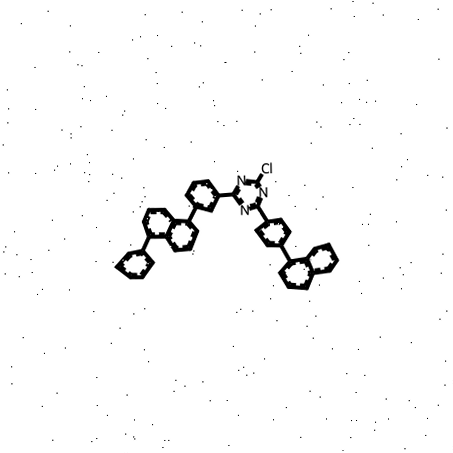 Clc1nc(-c2ccc(-c3cccc4ccccc34)cc2)nc(-c2cccc(-c3cccc4c(-c5ccccc5)cccc34)c2)n1